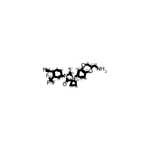 N#Cc1ccc(N2C(=O)C3(CCC3)N(c3ccc4c(c3)OCC(CN)O4)C2=S)cc1C(F)(F)F